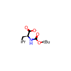 CC(C)C[C@H](NC(=O)OC(C)(C)C)C([O])=O